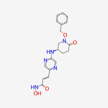 O=C(/C=C/c1cnc(N[C@@H]2CCC(=O)N(OCc3ccccc3)C2)cn1)NO